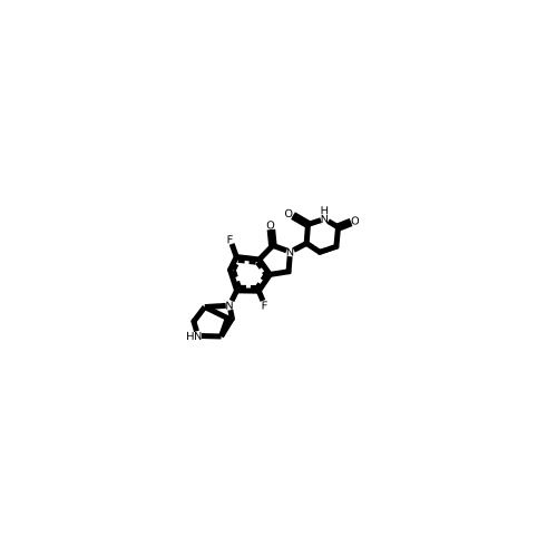 O=C1CCC(N2Cc3c(F)c(N4CC5CC4CN5)cc(F)c3C2=O)C(=O)N1